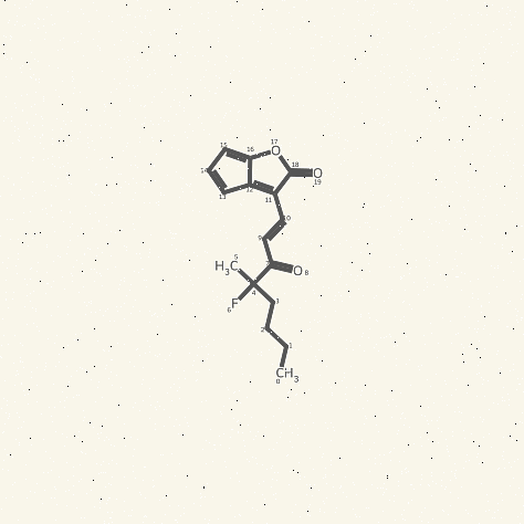 CCCCC(C)(F)C(=O)C=CC1=C2C=CC=C2OC1=O